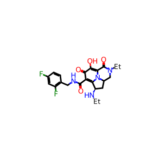 CCN[C@@H]1CC2CN(CC)C(=O)c3c(O)c(=O)c(C(=O)NCc4ccc(F)cc4F)c1n32